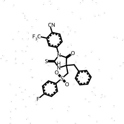 N#Cc1ccc(N2C(=O)C(Cc3ccccc3)(CS(=O)(=O)c3ccc(F)cc3)NC2=S)cc1C(F)(F)F